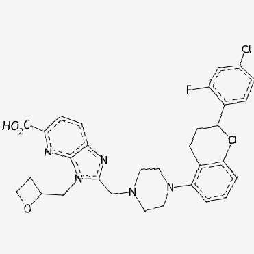 O=C(O)c1ccc2nc(CN3CCN(c4cccc5c4CCC(c4ccc(Cl)cc4F)O5)CC3)n(CC3CCO3)c2n1